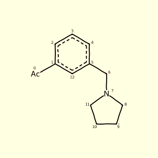 CC(=O)c1cccc(CN2C[CH]CC2)c1